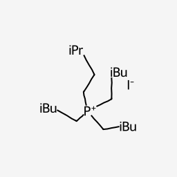 CCC(C)C[P+](CCC(C)C)(CC(C)CC)CC(C)CC.[I-]